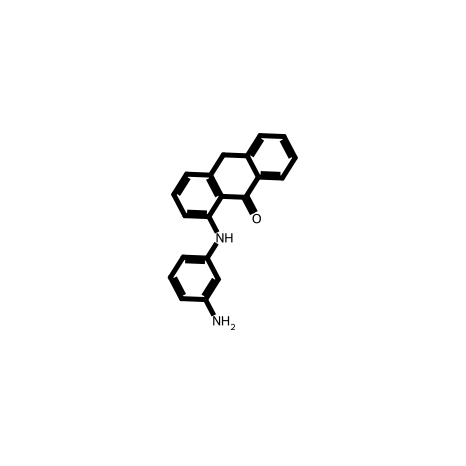 Nc1cccc(Nc2cccc3c2C(=O)c2ccccc2C3)c1